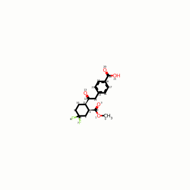 COC(=O)[C@H]1CC(F)(F)CC[C@H]1C(=O)Cc1ccc(C(=O)O)cc1